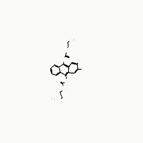 CCCOC(=O)Oc1c2ccccc2c(OC(=O)OCCC)c2cc(C)c(C)cc12